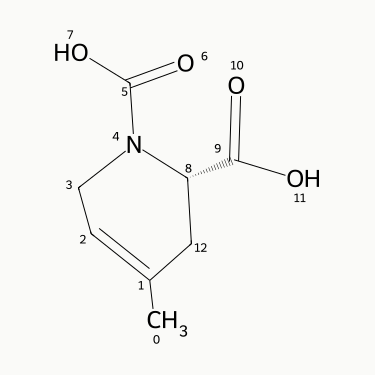 CC1=CCN(C(=O)O)[C@H](C(=O)O)C1